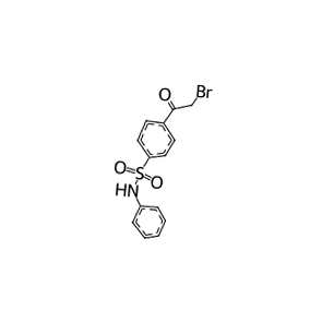 O=C(CBr)c1ccc(S(=O)(=O)Nc2ccccc2)cc1